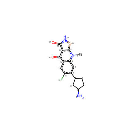 CCn1c2cc(C3CCC(N)C3)c(F)cc2c(=O)c2c(=O)[nH]sc21